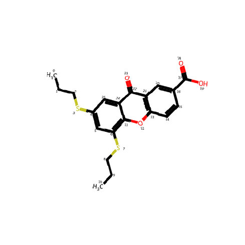 CCCSc1cc(SCCC)c2oc3ccc(C(=O)O)cc3c(=O)c2c1